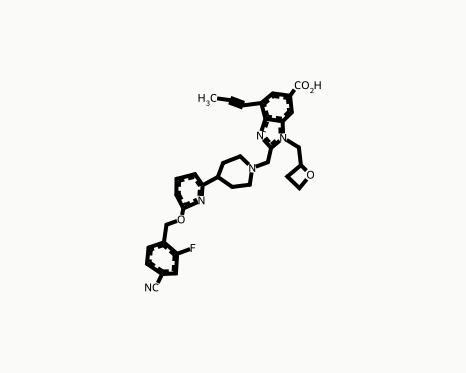 CC#Cc1cc(C(=O)O)cc2c1nc(CN1CCC(c3cccc(OCc4ccc(C#N)cc4F)n3)CC1)n2CC1CCO1